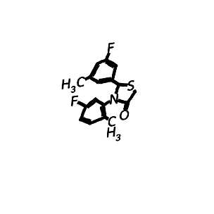 Cc1cc(F)cc(C2SCC(=O)N2c2cc(F)ccc2C)c1